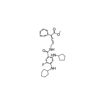 COC(=O)C(=C=CCNC(=O)c1cc(F)c(NC2CCCCC2)cc1NC1CCCC1)c1ccccc1